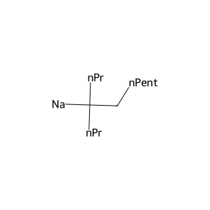 CCCCCC[C]([Na])(CCC)CCC